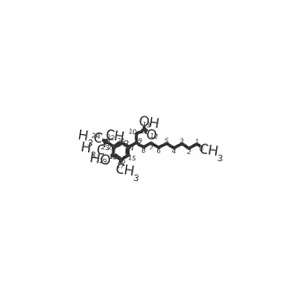 CCCCCCCCCC(CC(=O)O)c1cc(C)c(O)c(C(C)(C)C)c1